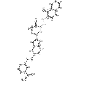 CC(=O)c1cccc(COc2ccc3oc(C(=O)CC(CCn4nnc5ccccc5c4=O)C(=O)O)cc3c2)c1